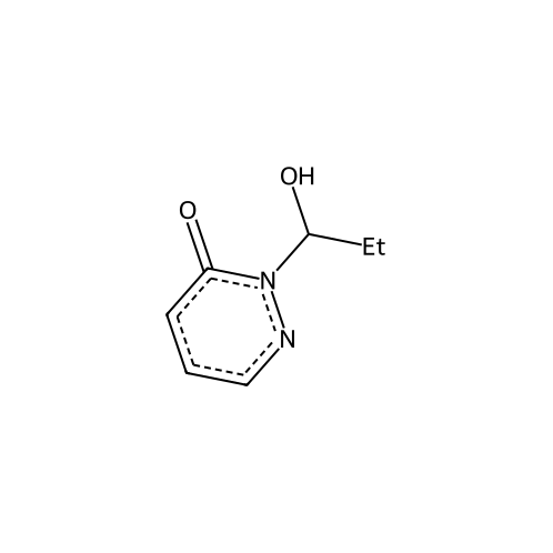 CCC(O)n1ncccc1=O